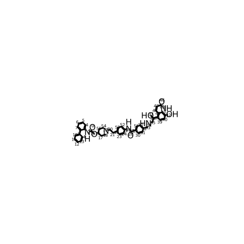 O=C(Nc1ccccc1-c1ccccc1)OC1CCN(CCc2ccc(NC(=O)c3ccc(CNCC(O)c4ccc(O)c5[nH]c(=O)ccc45)cc3)cc2)CC1